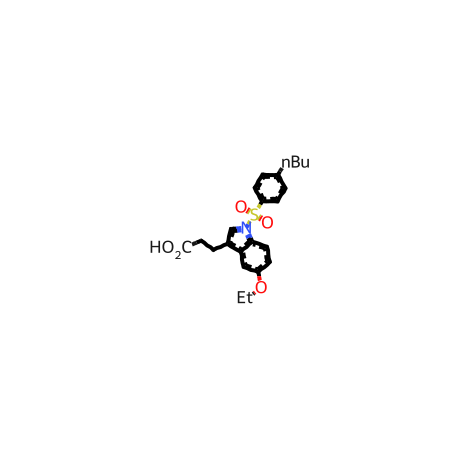 CCCCc1ccc(S(=O)(=O)n2cc(CCC(=O)O)c3cc(OCC)ccc32)cc1